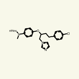 CCCCCCN(C)c1ccc(OC(CCc2ccc(Cl)cc2)Cn2ccnc2)cc1